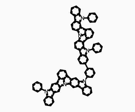 c1ccc(-n2c3ccccc3c3cc4c(cc32)c2cccc3c5cc6c(cc5n4c23)c2ccccc2n6-c2cccc(-c3ccc4c5ccc6c(c7cccc8c9c%10c(ccc9n6c87)c6ccccc6n%10-c6ccccc6)c5n(-c5ccccc5)c4c3)c2)cc1